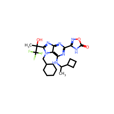 CC(Nc1nc(-c2noc(=O)[nH]2)nc2nc(C(C)(O)C(F)(F)F)n(CC3CCCCC3)c12)C1CCC1